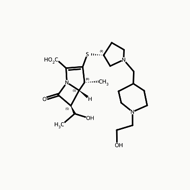 CC(O)[C@H]1C(=O)N2C(C(=O)O)=C(S[C@@H]3CCN(CC4CCN(CCO)CC4)C3)[C@H](C)[C@H]12